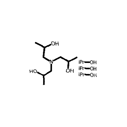 CC(C)O.CC(C)O.CC(C)O.CC(O)CN(CC(C)O)CC(C)O